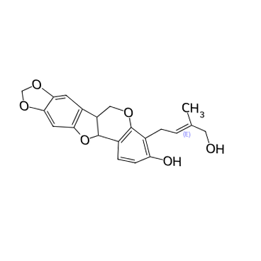 C/C(=C\Cc1c(O)ccc2c1OCC1c3cc4c(cc3OC21)OCO4)CO